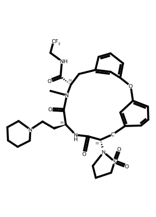 CN1C(=O)[C@H](CCN2CCCCC2)NC(=O)[C@@H](N2CCCS2(=O)=O)Cc2cccc(c2)Oc2cccc(c2)C[C@H]1C(=O)NCC(F)(F)F